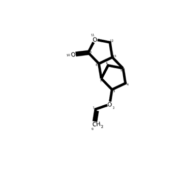 C=COC1CC2CC1C1C(=O)OCC21